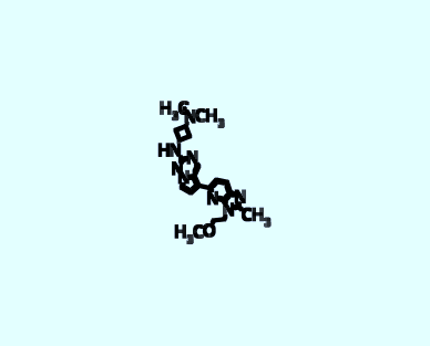 COCCn1c(C)nc2ccc(-c3ccn4nc(N[C@H]5C[C@H](N(C)C)C5)ncc34)nc21